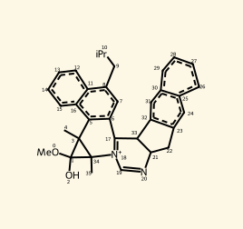 COC1(O)C2(C)c3c(cc(CC(C)C)c4ccccc34)C3=[N+](C=NC4Cc5cc6ccccc6cc5C34)C12C